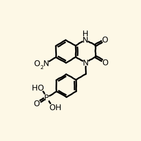 O=c1[nH]c2ccc([N+](=O)[O-])cc2n(Cc2ccc(P(=O)(O)O)cc2)c1=O